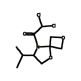 CC(C)C1COC2(COC2)N1C(=O)C(Cl)Cl